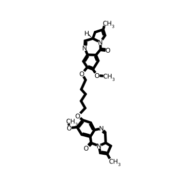 COc1cc2c(cc1OCCCCCOc1cc3c(cc1OC)C(=O)N1C=C(C)C[C@@H]1C=N3)N=CC1CC(C)=CN1C2=O